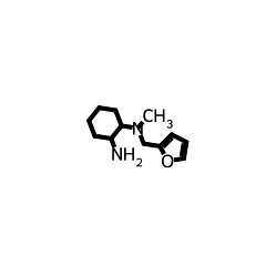 CN(Cc1ccco1)C1CCCCC1N